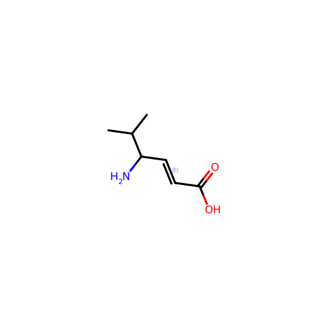 CC(C)C(N)/C=C/C(=O)O